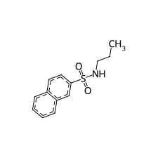 CCCNS(=O)(=O)c1ccc2ccccc2c1